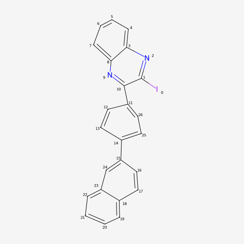 Ic1nc2ccccc2nc1-c1ccc(-c2ccc3ccccc3c2)cc1